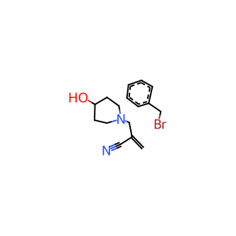 BrCc1ccccc1.C=C(C#N)CN1CCC(O)CC1